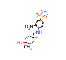 CC1(O)CCC(F)(CNc2ccc(S(N)(=O)=O)cc2[N+](=O)[O-])CC1